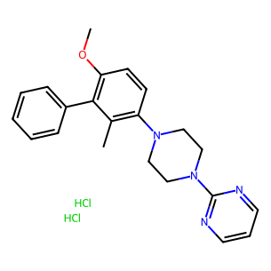 COc1ccc(N2CCN(c3ncccn3)CC2)c(C)c1-c1ccccc1.Cl.Cl